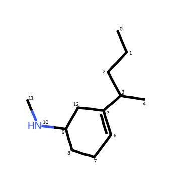 CCCC(C)C1=CCCC(NC)C1